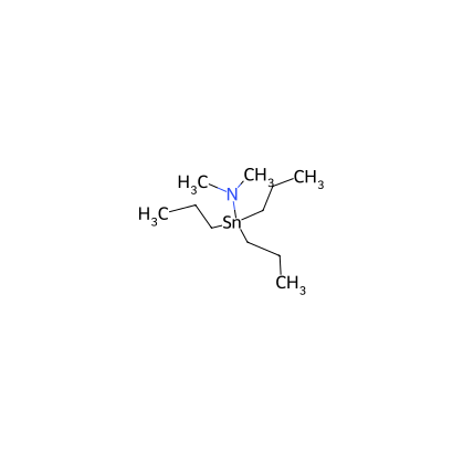 CC[CH2][Sn]([CH2]CC)([CH2]CC)[N](C)C